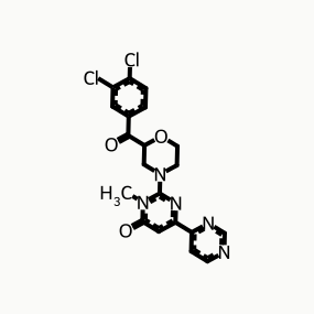 Cn1c(N2CCOC(C(=O)c3ccc(Cl)c(Cl)c3)C2)nc(-c2ccncn2)cc1=O